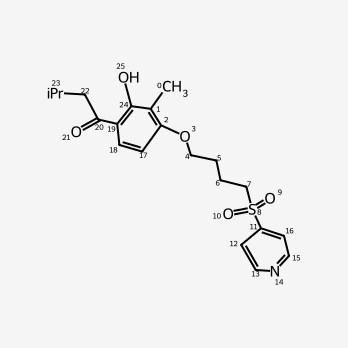 Cc1c(OCCCCS(=O)(=O)c2ccncc2)ccc(C(=O)CC(C)C)c1O